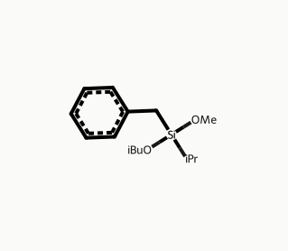 CO[Si](Cc1ccccc1)(OCC(C)C)C(C)C